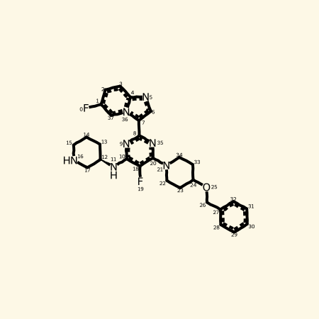 Fc1ccc2ncc(-c3nc(N[C@@H]4CCCNC4)c(F)c(N4CCC(OCc5ccccc5)CC4)n3)n2c1